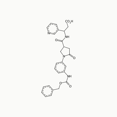 O=C(O)CC(NC(=O)C1CC(=O)N(c2cccc(NC(=O)OCc3ccccc3)c2)C1)c1cccnc1